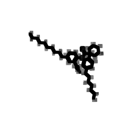 CCCCCCCCCCc1ccc(OC(=O)C2(c3ccc(CCCCCCC)cc3)CCCCC2)c(C#N)c1